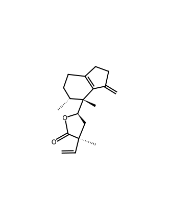 C=C[C@]1(C)C[C@H]([C@@]2(C)C3=C(CCC3=C)CC[C@H]2C)OC1=O